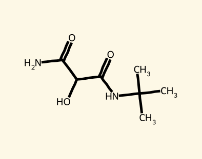 CC(C)(C)NC(=O)C(O)C(N)=O